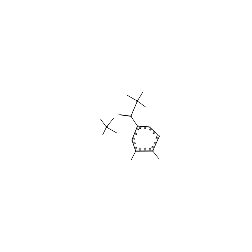 CC(C)(C)NC(c1ccc(F)c(F)c1)C(F)(F)F